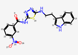 O=C(Nc1nnc(NCCc2c[nH]c3ccccc23)s1)c1cccc([N+](=O)[O-])c1